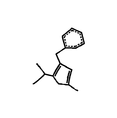 CC1=CC(Cc2ccccc2)=C(C(C)C)C1